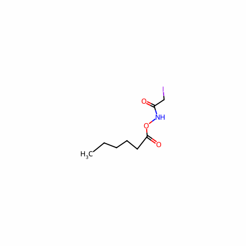 CCCCCC(=O)ONC(=O)CI